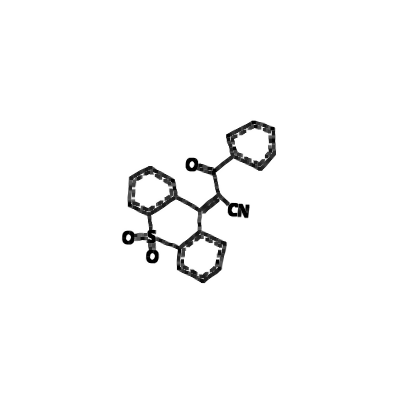 N#CC(C(=O)c1ccccc1)=C1c2ccccc2S(=O)(=O)c2ccccc21